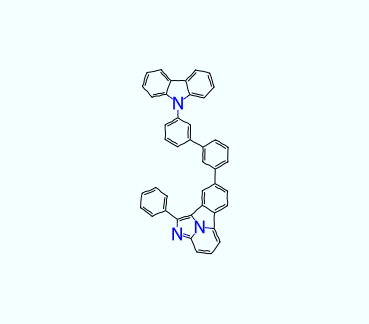 c1ccc(-c2nc3cccc4c5ccc(-c6cccc(-c7cccc(-n8c9ccccc9c9ccccc98)c7)c6)cc5c2n34)cc1